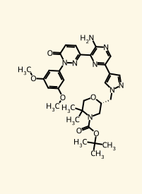 COc1cc(OC)cc(-n2nc(-c3nc(-c4cnn(C[C@@H]5CN(C(=O)OC(C)(C)C)C(C)(C)CO5)c4)cnc3N)ccc2=O)c1